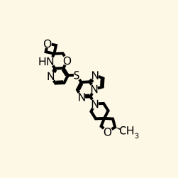 C[C@H]1CC2(CCN(c3ncc(Sc4ccnc5c4OCC4(COC4)N5)c4nccn34)CC2)CO1